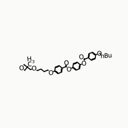 CCCCOc1ccc(C(=O)Oc2ccc(OC(=O)c3ccc(OCCCCOCC4(C)COC4)cc3)cc2)cc1